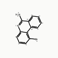 Nc1nc2cccc(Br)c2c2ccccc12